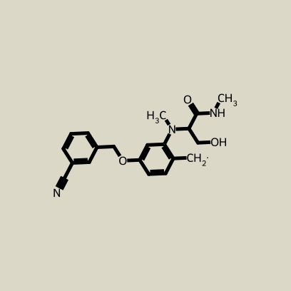 [CH2]c1ccc(OCc2cccc(C#N)c2)cc1N(C)C(CO)C(=O)NC